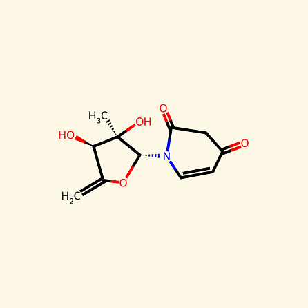 C=C1O[C@@H](N2C=CC(=O)CC2=O)[C@](C)(O)[C@@H]1O